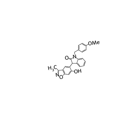 COc1ccc(CN2C(=O)C(c3cc4c(C)noc4cc3O)c3ccccc32)cc1